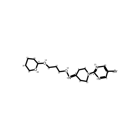 Brc1cnc(N2CCC(=NOCCCOC3CCCCO3)CC2)nc1